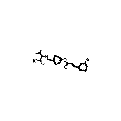 CC(C)C(/N=C/c1ccc(OC(=O)/C=C/c2cccc(Br)c2)cc1)C(=O)O